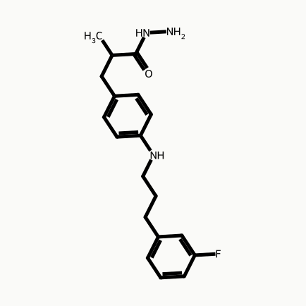 CC(Cc1ccc(NCCCc2cccc(F)c2)cc1)C(=O)NN